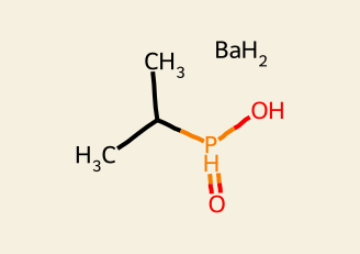 CC(C)[PH](=O)O.[BaH2]